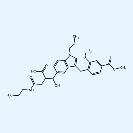 CCCNC(=O)CC(C(=O)O)C(O)c1ccc2c(c1)c(Cc1ccc(C(=O)OC)cc1OC)cn2CCC